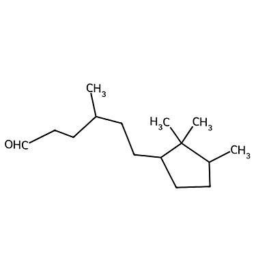 CC(CCC=O)CCC1CCC(C)C1(C)C